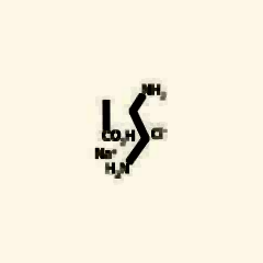 CC(=O)O.NCCN.[Cl-].[Na+]